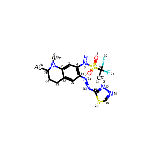 CCCN1c2cc(NS(=O)(=O)C(F)(F)C(F)(F)F)c(N=Nc3nncs3)cc2CCC1C(C)=O